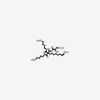 CCCCCCCC/C=C\CCCCCCC(C(=O)CCCCCCCCCCCCCCC)(C(=O)CCCCCCCCCCCCCCC)C(=O)OC(=O)C(O)CC(=O)O